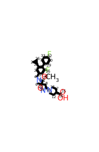 COc1c(CN2CC3(CC(N4CCC(C(=O)O)CC4)=NO3)C2)cc(C2CC2)c(-c2ccc(F)cc2)c1F